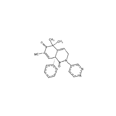 CC1(C)C(=O)C(C#N)=C[C@]2(c3ccccc3)C(=O)N(c3ccnnc3)CC=C12